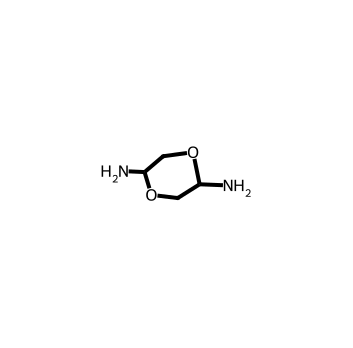 NC1COC(N)CO1